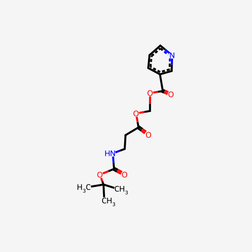 CC(C)(C)OC(=O)NCCC(=O)OCOC(=O)c1cccnc1